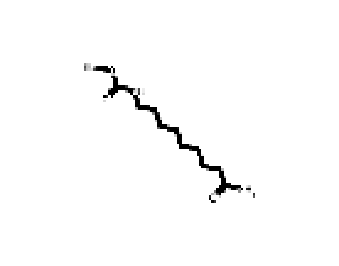 CC(C)(C)OC(=O)NCCCCCCCCC(N)=O